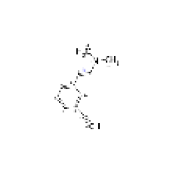 C#Cc1cccc(/C=C/N(C)C)c1